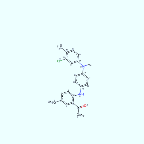 COC(=O)c1cc(OC)ccc1Nc1ccc(N(C)c2ccc(C(F)(F)F)c(Cl)c2)cc1